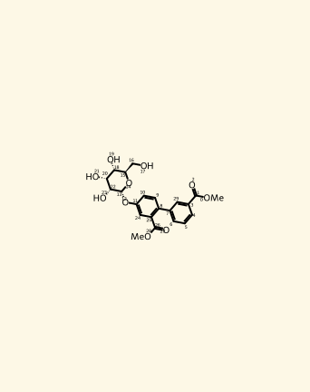 COC(=O)c1cccc(-c2ccc(O[C@H]3O[C@H](CO)[C@@H](O)[C@@H](O)[C@H]3O)cc2C(=O)OC)c1